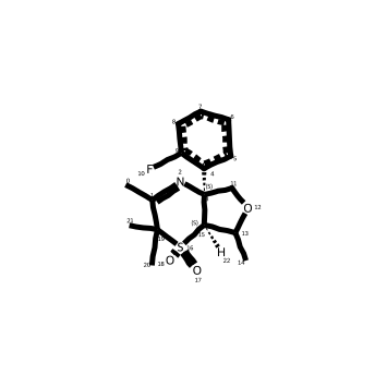 CC1=N[C@@]2(c3ccccc3F)COC(C)[C@H]2S(=O)(=O)C1(C)C